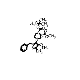 COC(=O)[C@@H]1CN(c2c(OC)c(C)nn2Cc2ccccc2)CCN1C(=O)OC(C)(C)C